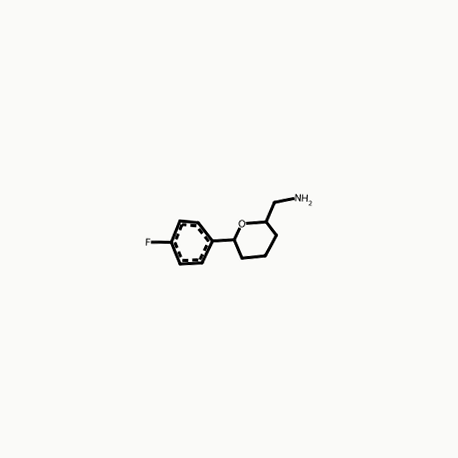 NCC1CCCC(c2ccc(F)cc2)O1